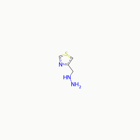 NNCc1cscn1